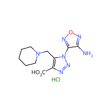 Cl.Nc1nonc1-n1nnc(C(=O)O)c1CN1CCCCC1